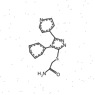 NC(=O)CSc1nnc(-c2ccncc2)n1-c1ccccc1